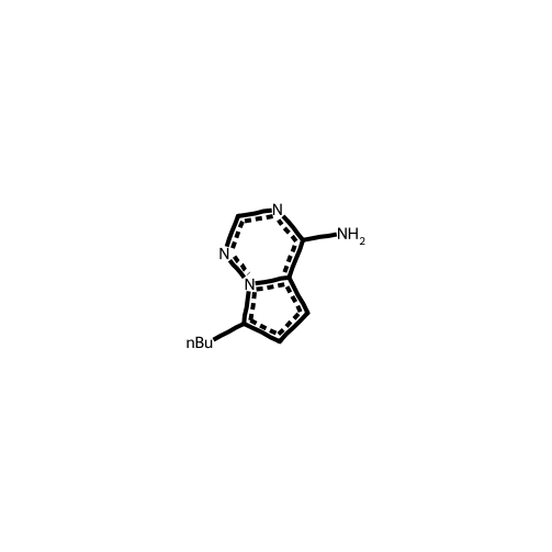 CCCCc1ccc2c(N)ncnn12